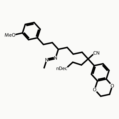 CCCCCCCCCCCCC(C#N)(CCCC(CCc1cccc(OC)c1)N=NC)c1ccc2c(c1)OCCO2